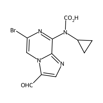 O=Cc1cnc2c(N(C(=O)O)C3CC3)nc(Br)cn12